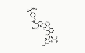 C=Cc1cnc2c(Nc3cccc(-c4cccc(-c5ccc(CN(C)CC6CCC(C(=O)OC)CC6)c(OC)n5)c4Cl)c3C)nc(C(F)F)nc2c1